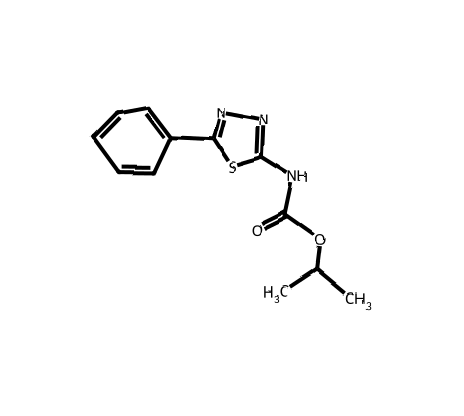 CC(C)OC(=O)Nc1nnc(-c2ccccc2)s1